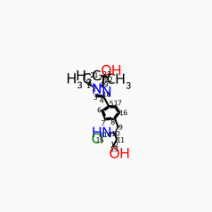 CCn1cc(-c2ccc(C[C@@H](CCO)NCl)cc2)nc1C(C)(C)O